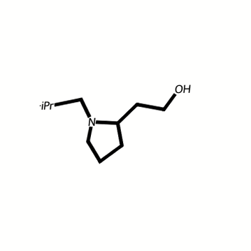 C[C](C)CN1CCCC1CCO